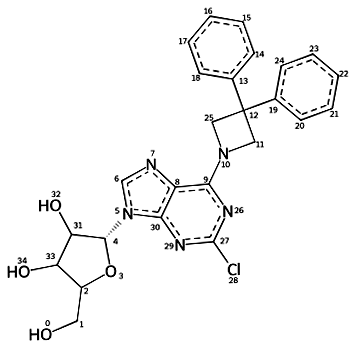 OCC1O[C@@H](n2cnc3c(N4CC(c5ccccc5)(c5ccccc5)C4)nc(Cl)nc32)C(O)C1O